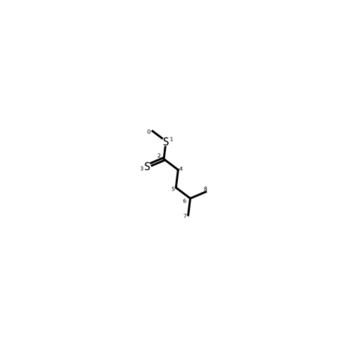 CSC(=S)CCC(C)C